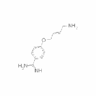 N=C(N)c1ccc(OC/C=C/CN)cc1